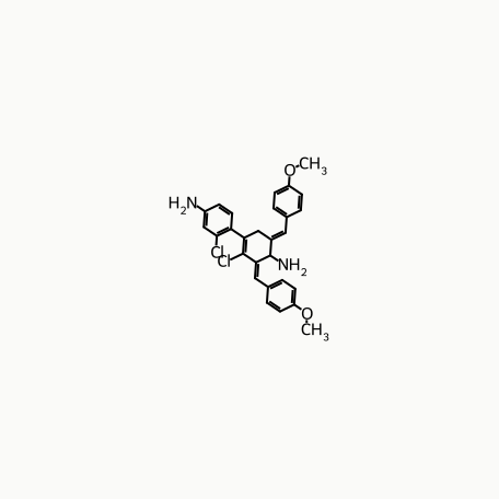 COc1ccc(C=C2CC(c3ccc(N)cc3Cl)=C(Cl)C(=Cc3ccc(OC)cc3)C2N)cc1